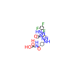 O=C(NC[C@@H](O)CO)[C@H]1CC[C@H](Nc2ncc3nc(Nc4c(F)cc(F)cc4F)n([C@H]4CCOC4)c3n2)CC1